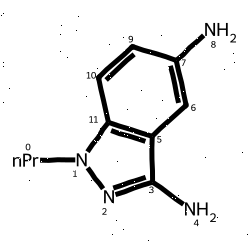 CCCn1nc(N)c2cc(N)ccc21